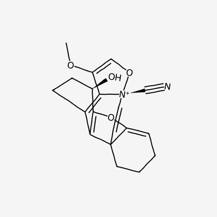 COC1=CO[N@+]2(C#N)C=CC34CCCC=C3OC3=C4C(=C12)CC[C@H]3O